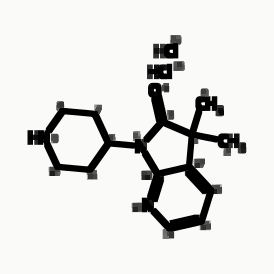 CC1(C)C(=O)N(C2CCNCC2)c2ncccc21.Cl.Cl